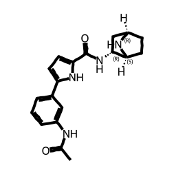 CC(=O)Nc1cccc(-c2ccc(C(=O)N[C@@H]3C[C@H]4CC[C@@H]3N4)[nH]2)c1